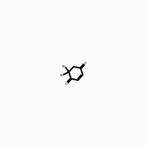 O=C1C=CC(=O)C(Br)(Br)C1